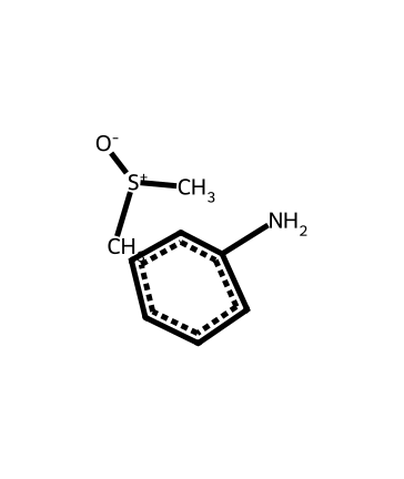 C[S+](C)[O-].Nc1ccccc1